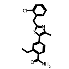 CCc1cc(-c2sc(Cc3ccccc3Cl)nc2C)ccc1C(N)=O